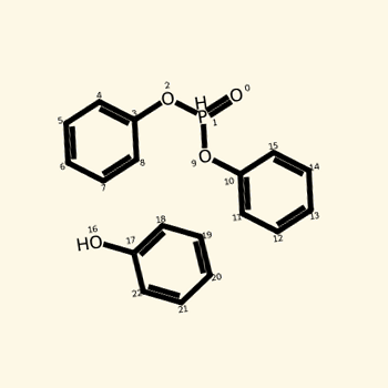 O=[PH](Oc1ccccc1)Oc1ccccc1.Oc1ccccc1